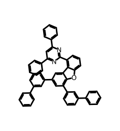 c1ccc(-c2cccc(-c3cc(-c4cccc(-c5ccccc5)c4)c4oc5cccc(-c6nc(-c7ccccc7)cc(-c7ccccc7)n6)c5c4c3)c2)cc1